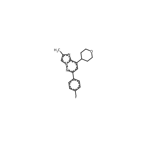 Cc1cn2nc(-c3ccc(F)cc3)cc(C3CCOCC3)c2n1